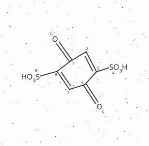 O=C1C=C(S(=O)(=O)O)C(=O)C=C1S(=O)(=O)O